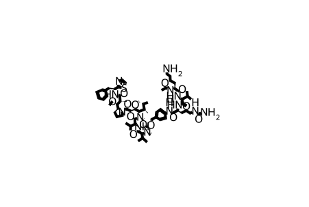 CC[C@H](C)[C@@H]([C@@H](CC(=O)N1CCC[C@H]1[C@H](OC)[C@@H](C)C(=O)N[C@@H](Cc1ccccc1)c1nccs1)OC)N(C)C(=O)[C@@H](NC(=O)C(C(C)C)N(C)C(=O)OCc1ccc(NC(=O)[C@H](CCCNC(N)=O)NC(=O)C(NC(=O)[C@H](CCCCN)NC(C)=O)C(C)C)cc1)C(C)C